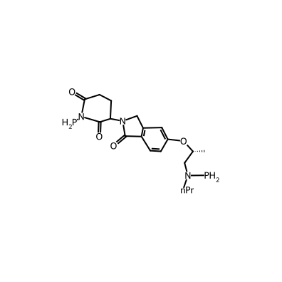 CCCN(P)C[C@@H](C)Oc1ccc2c(c1)CN(C1CCC(=O)N(P)C1=O)C2=O